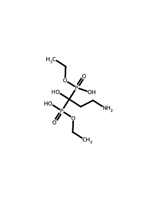 CCOP(=O)(O)C(O)(CCN)P(=O)(O)OCC